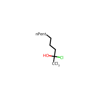 CCCCCCCCC(O)(Cl)C(Cl)(Cl)Cl